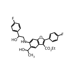 CCOC(=O)c1c(-c2ccc(F)cc2)oc2cc(NCC(O)c3ccc(F)cc3)c(C(C)O)cc12